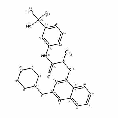 CC(Sc1nc(CN2CCOCC2)nc2ccccc12)C(=O)Nc1cccc(C(O)(S)S)c1